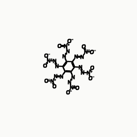 O=[N+]([O-])N=Nc1c(N=N[N+](=O)[O-])c(N=N[N+](=O)[O-])c(N=N[N+](=O)[O-])c(N=N[N+](=O)[O-])c1N=N[N+](=O)[O-]